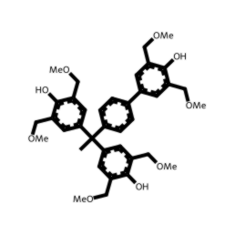 COCc1cc(-c2ccc(C(C)(c3cc(COC)c(O)c(COC)c3)c3cc(COC)c(O)c(COC)c3)cc2)cc(COC)c1O